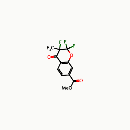 COC(=O)c1ccc2c(c1)OC(F)(F)C(F)(C(F)(F)F)C2=O